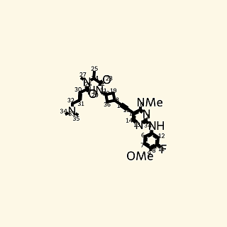 CNc1nc(Nc2ccc(OC)c(F)c2)ncc1C#CC1CC(NC(=O)C(C)N(C)C(=O)C=CCN(C)C)C1